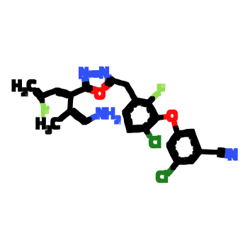 C=C(F)/C=C(\C(C)=C/N)c1nnc(Cc2ccc(Cl)c(Oc3cc(Cl)cc(C#N)c3)c2F)o1